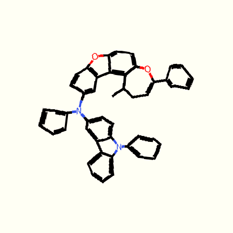 CC1CC=C(c2ccccc2)Oc2ccc3oc4ccc(N(c5ccccc5)c5ccc6c(c5)c5ccccc5n6-c5ccccc5)cc4c3c21